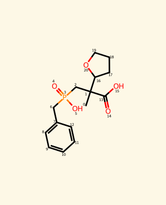 CC(CP(=O)(O)Cc1ccccc1)(C(=O)O)C1CCCO1